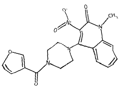 Cn1c(=O)c([N+](=O)[O-])c(N2CCN(C(=O)c3ccoc3)CC2)c2ccccc21